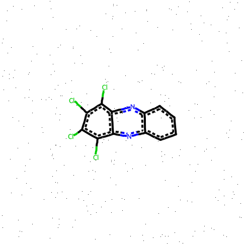 Clc1c(Cl)c(Cl)c2nc3ccccc3nc2c1Cl